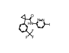 O=C(Nc1ccc(I)nn1)C1(c2cccc(C(F)(F)F)c2)CC1